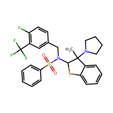 CC1(N2CCCC2)c2ccccc2SC1N(Cc1ccc(F)c(C(F)(F)F)c1)S(=O)(=O)c1ccccc1